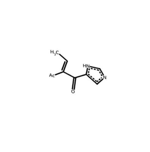 CC=C(C(C)=O)C(=O)c1cnc[nH]1